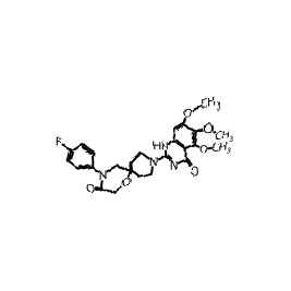 COc1cc2[nH]c(N3CCC4(CC3)CN(c3ccc(F)cc3)C(=O)CO4)nc(=O)c2c(OC)c1OC